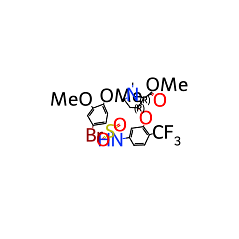 COC(=O)[C@H]1[C@H](Oc2cc(NS(=O)(=O)c3cc(OC)c(OC)cc3Br)ccc2C(F)(F)F)CCN1C